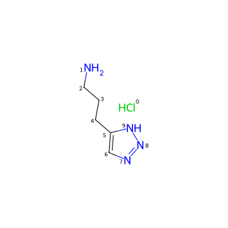 Cl.NCCCc1cnn[nH]1